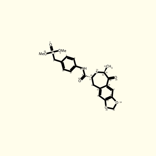 COP(=O)(Cc1ccc(NC(=O)[C@H]2Cc3cc4c(cc3C(=O)[C@H](C)S2)OCO4)cc1)OC